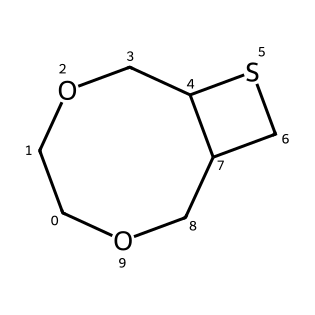 C1COCC2SCC2CO1